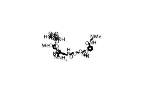 CNCCNC(=O)c1cccc(OCC(N=[N+]=[N-])OCCOCC(=O)NCC#Cc2cn([C@H]3C[C@@H](OC)[C@@H](COP(=O)(O)OP(=O)(O)OP(=O)(O)O)O3)c3ncnc(N)c23)c1